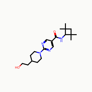 CC1(C)CC(C)(C)C1NC(=O)c1cnc(N2CCC(CCO)CC2)nc1